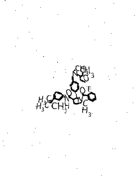 CCN(CC1=CC[C@H](C2C(C(=O)Nc3cccc(C(C)(C)C)c3)CCCN2C(=O)c2c(C)cccc2F)C=C1)C1CCOC1C